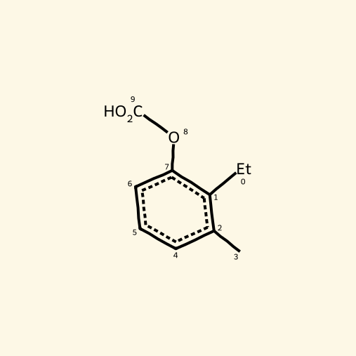 CCc1c(C)cccc1OC(=O)O